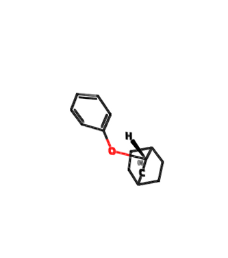 c1ccc(O[C@H]2CC3CCC2CC3)cc1